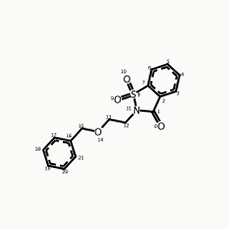 O=C1c2ccccc2S(=O)(=O)N1CCOCc1ccccc1